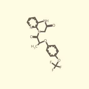 CC(Oc1ccc(OC(F)(F)F)cc1)C(=O)N1CC(=O)Nc2cccnc21